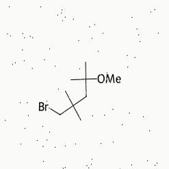 COC(C)(C)CC(C)(C)CBr